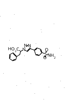 NS(=O)(=O)c1ccc(-c2cn([C@@H](Cc3ccccc3)C(=O)O)nn2)cc1